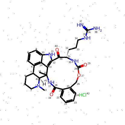 CN1CCCC2c3cccc4[nH]c5c(c34)C(C)(NC(=O)c3ccccc3COC(=O)N[C@@H](CCCNC(=N)N)C5=O)[C@H]21.Cl